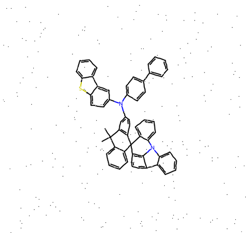 CC1(C)c2ccccc2C2(c3ccccc3-n3c4ccccc4c4cccc2c43)c2ccc(N(c3ccc(-c4ccccc4)cc3)c3ccc4sc5ccccc5c4c3)cc21